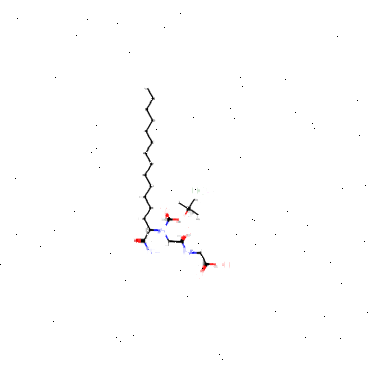 CCCCCCCCCCCCCC(C(N)=O)N(CC(=O)NCC(=O)O)C(=O)OC(C)(C)C.Cl